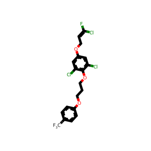 F/C(Cl)=C/COc1cc(Cl)c(OCCCOc2ccc(C(F)(F)F)cc2)c(Cl)c1